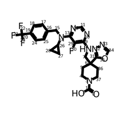 O=C(O)N1CCC(CNc2ncnc(N(Cc3ccc(C(F)(F)F)cc3)C3CC3)c2F)(c2nnco2)CC1